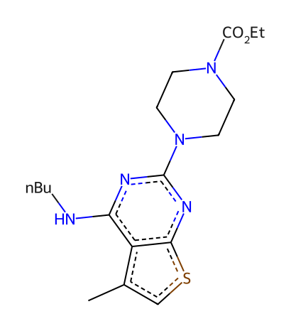 CCCCNc1nc(N2CCN(C(=O)OCC)CC2)nc2scc(C)c12